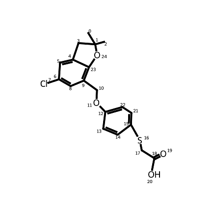 CC1(C)Cc2cc(Cl)cc(COc3ccc(SCC(=O)O)cc3)c2O1